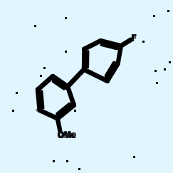 COc1[c]ccc(-c2ccc(F)cc2)c1